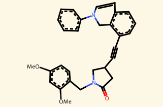 COc1ccc(CN2CC(C#Cc3cccc4c3CN(c3ccccc3)C=C4)CC2=O)c(OC)c1